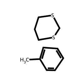 C1CSCSC1.Cc1ccccc1